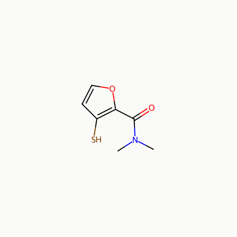 CN(C)C(=O)c1occc1S